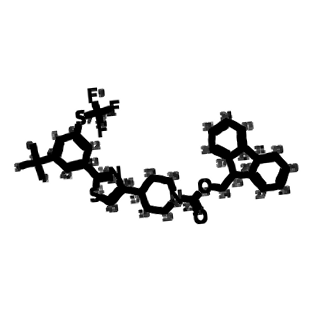 CC(C)(C)c1cc(SC(F)(F)F)cc(-c2nc(C3CCN(C(=O)OCC4c5ccccc5-c5ccccc54)CC3)cs2)c1